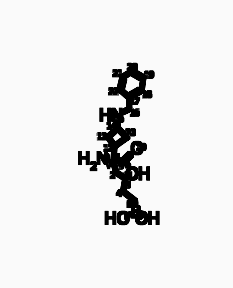 N[C@@](CCCCB(O)O)(C(=O)O)C1CC(NCc2ccccc2)C1